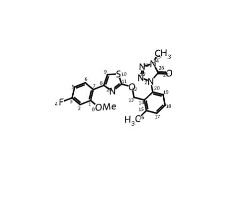 COc1cc(F)ccc1-c1csc(OCc2c(C)cccc2-n2nnn(C)c2=O)n1